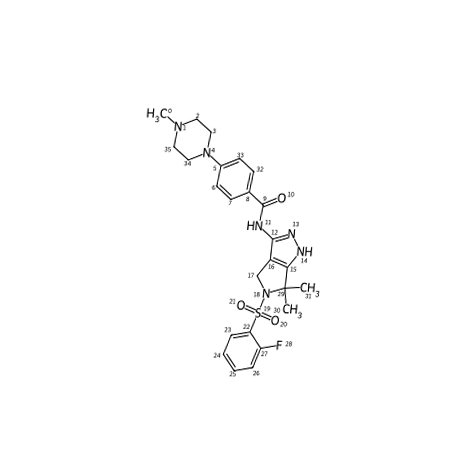 CN1CCN(c2ccc(C(=O)Nc3n[nH]c4c3CN(S(=O)(=O)c3ccccc3F)C4(C)C)cc2)CC1